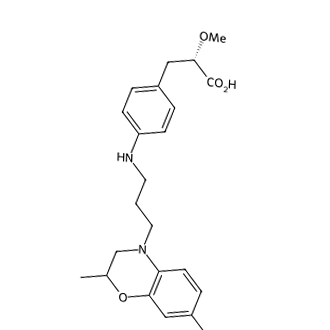 CO[C@@H](Cc1ccc(NCCCN2CC(C)Oc3cc(F)ccc32)cc1)C(=O)O